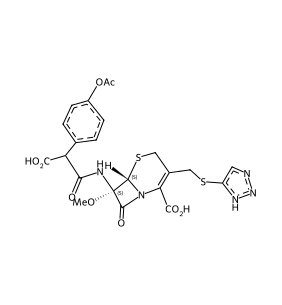 CO[C@@]1(NC(=O)C(C(=O)O)c2ccc(OC(C)=O)cc2)C(=O)N2C(C(=O)O)=C(CSc3cnn[nH]3)CS[C@H]21